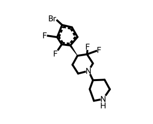 Fc1c(Br)ccc([C@@H]2CCN(C3CCNCC3)CC2(F)F)c1F